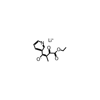 CCOC(=O)C(=O)/C(C)=C(/[O-])c1cccnc1.[Li+]